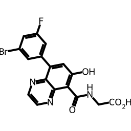 O=C(O)CNC(=O)c1c(O)cc(-c2cc(F)cc(Br)c2)c2nccnc12